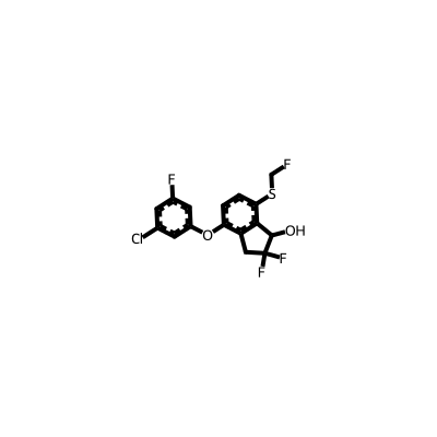 OC1c2c(SCF)ccc(Oc3cc(F)cc(Cl)c3)c2CC1(F)F